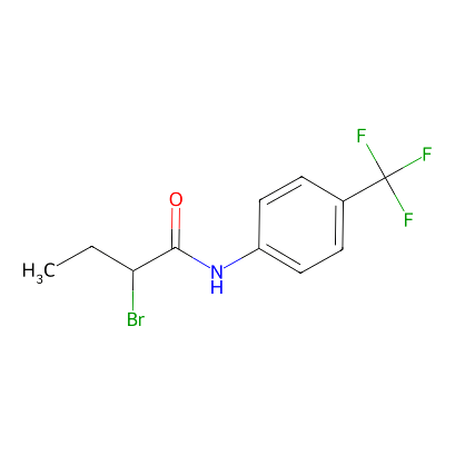 CCC(Br)C(=O)Nc1ccc(C(F)(F)F)cc1